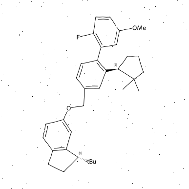 COc1ccc(F)c(-c2ccc(COc3ccc4c(c3)[C@H](C(C)(C)C)CC4)cc2[C@H]2CCCC2(C)C)c1